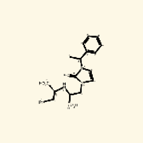 CC(C)C[C@H](NC(Cn1ccn(C(C)c2ccccc2)c1=O)C(=O)O)C(=O)O